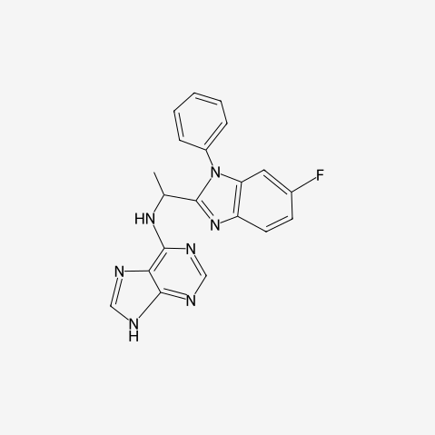 CC(Nc1ncnc2[nH]cnc12)c1nc2ccc(F)cc2n1-c1ccccc1